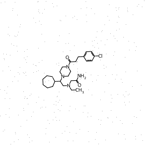 CCN(CC(N)=O)CC(C1CCCCCC1)N1CCN(C(=O)[CH]Cc2ccc(Cl)cc2)CC1